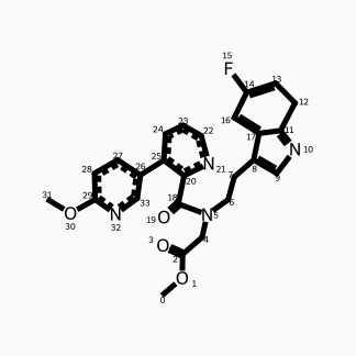 COC(=O)CN(CCC1=CN=C2CC=C(F)C=C12)C(=O)c1ncccc1-c1ccc(OC)nc1